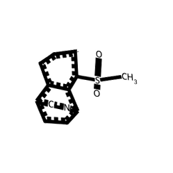 CS(=O)(=O)c1[c]ccc2c3ccc(nc3)c12